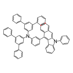 c1ccc(-c2cc(-c3ccccc3)cc(N(c3cc(-c4ccccc4)cc(-c4ccccc4)c3)c3cccc(-c4c5ccccc5cc5c4c4ccccc4n5-c4ccccc4)c3)c2)cc1